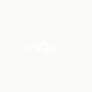 CCCCC(CC)(CC)C(=O)OC(C)OOC(C)(C)C